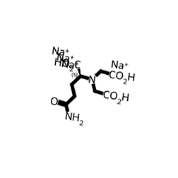 NC(=O)CC[C@@H](C(=O)O)N(CC(=O)O)CC(=O)O.[Na+].[Na+].[Na+].[Na+]